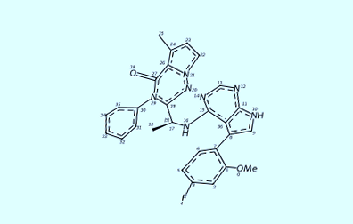 COc1cc(F)ccc1-c1c[nH]c2ncnc(N[C@@H](C)c3nn4ccc(C)c4c(=O)n3-c3ccccc3)c12